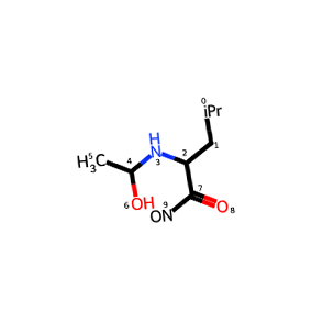 CC(C)CC(NC(C)O)C(=O)N=O